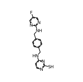 Fc1cnc(NCc2ccc(CNc3ccnc(S)n3)cc2)nc1